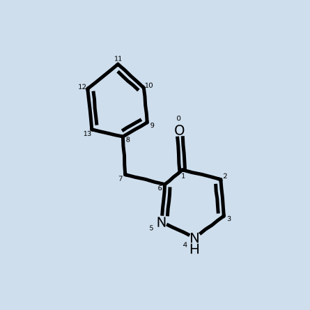 O=c1cc[nH]nc1Cc1ccccc1